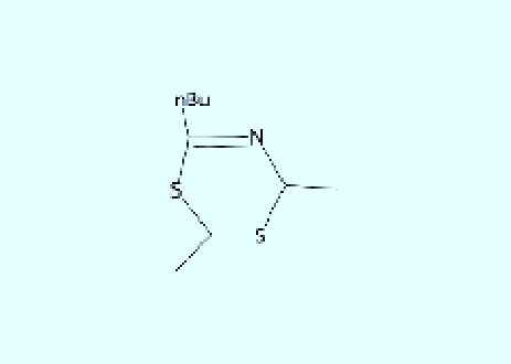 CCCCC1=NC(C)SC(C)S1